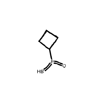 B=P(=O)C1CCC1